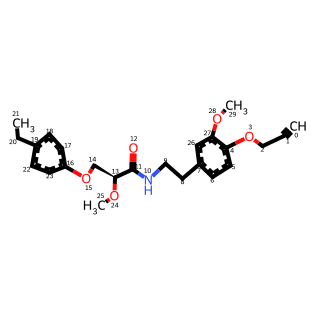 C#CCOc1ccc(CCNC(=O)[C@H](COc2ccc(CC)cc2)OC)cc1OC